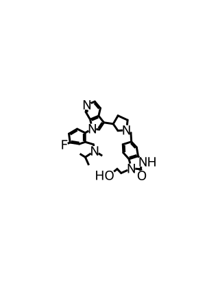 CC(C)N(C)Cc1cc(F)ccc1-n1cc(C2CCN(Cc3ccc4c(c3)[nH]c(=O)n4CCO)C2)c2ccncc21